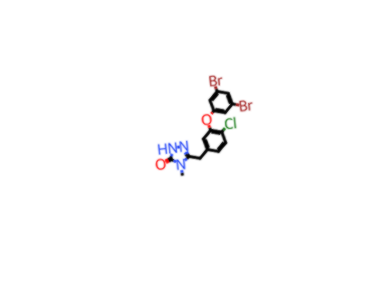 Cn1c(Cc2ccc(Cl)c(Oc3cc(Br)cc(Br)c3)c2)n[nH]c1=O